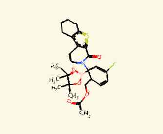 CC(=O)OCC1C=CC(F)=CC1(B1OC(C)(C)C(C)(C)O1)N1CCc2c(sc3c2CCCC3)C1=O